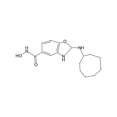 O=C(NO)c1ccc2c(c1)NC(NC1CCCCCCC1)O2